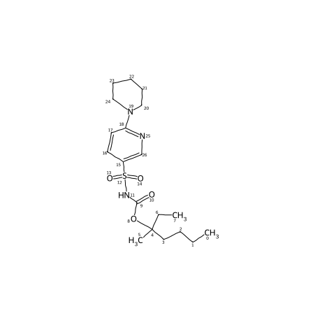 CCCCC(C)(CC)OC(=O)NS(=O)(=O)c1ccc(N2CCCCC2)nc1